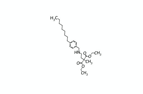 CCCCCCCCCc1ccc(CNCCC(C)(C(=O)OCC)C(=O)OCC)cc1